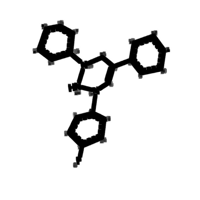 Fc1ccc(N2C=C(c3ccccc3)CN(c3ccccc3)N2)cc1